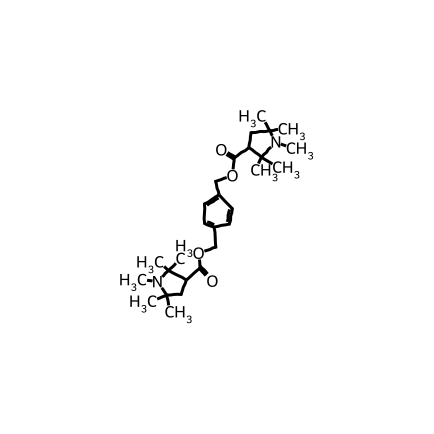 CN1C(C)(C)CC(C(=O)OCc2ccc(COC(=O)C3CC(C)(C)N(C)C3(C)C)cc2)C1(C)C